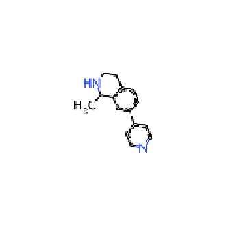 CC1NCCc2ccc(-c3ccncc3)cc21